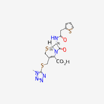 Cn1nnnc1SCC1=C(C(=O)O)N2C(=O)[C@@H](NC(=O)Cc3cccs3)[C@@H]2SC1